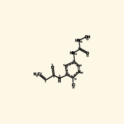 C=CC(=O)Nc1cc(NC(=O)NO)cnc1Cl